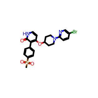 CS(=O)(=O)c1ccc(-c2c(OC3CCN(c4ccc(Br)cn4)CC3)cc[nH]c2=O)cc1